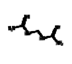 N=C(N)NCNC(=N)N